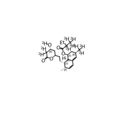 [2H]O[C@@H]1CC(CC[C@@H]2[C@@H]3C(=C[C@H](C([2H])([2H])[2H])C[C@@H]3OC(=O)[C@]([2H])(CC)C([2H])([2H])[2H])C=C[C@@H]2C)OC(=O)C1([2H])[2H]